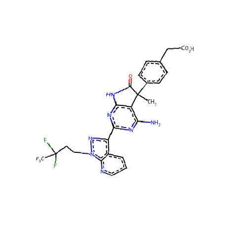 CC1(c2ccc(CC(=O)O)cc2)C(=O)Nc2nc(-c3nn(CCC(F)(F)C(F)(F)F)c4ncccc34)nc(N)c21